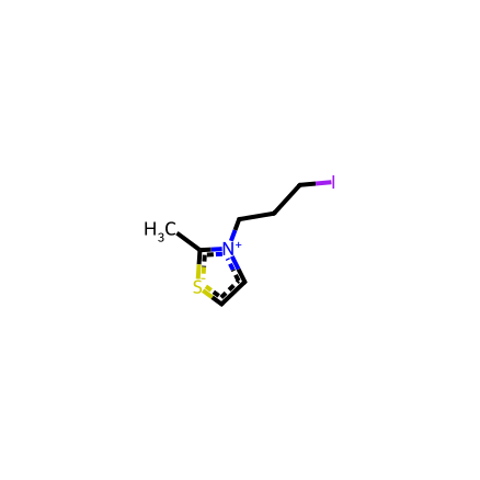 Cc1scc[n+]1CCCI